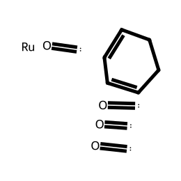 C1=CCCC=C1.[C]=O.[C]=O.[C]=O.[C]=O.[Ru]